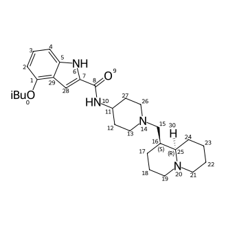 CC(C)COc1cccc2[nH]c(C(=O)NC3CCN(C[C@@H]4CCCN5CCCC[C@H]45)CC3)cc12